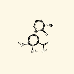 Nc1cccc(C(=O)O)c1N.O=c1[nH]cccc1O